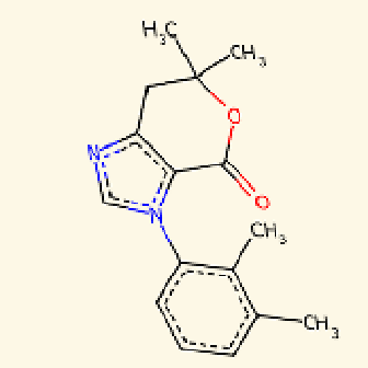 Cc1cccc(-n2cnc3c2C(=O)OC(C)(C)C3)c1C